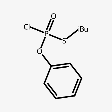 CCC(C)SP(=O)(Cl)Oc1ccccc1